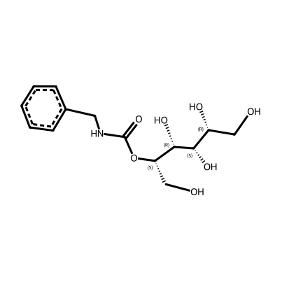 O=C(NCc1ccccc1)O[C@@H](CO)[C@H](O)[C@@H](O)[C@H](O)CO